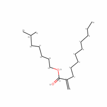 C=C(CCCCCCCCC)C(=O)OCCCCCC(C)C